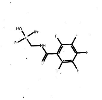 CC(C)[Si](O)(CNC(=O)c1c(F)c(F)c(F)c(F)c1F)C(C)C